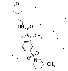 Cc1c(C(=O)NCCC2CCOCC2)oc2ccc(S(=O)(=O)N3CCCC(C)C3)cc12